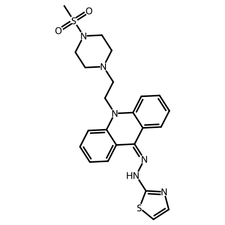 CS(=O)(=O)N1CCN(CCn2c3ccccc3c(=NNc3nccs3)c3ccccc32)CC1